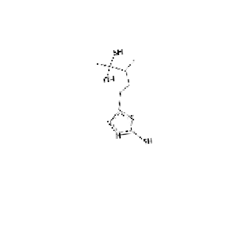 CC(CCc1nnc(S)s1)C(C)(O)S